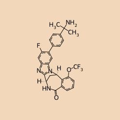 CC(C)(N)c1ccc(-c2cc3c(cc2F)nc2n3[C@@H]3C[C@H]2NC(=O)c2cccc(OC(F)(F)F)c23)cc1